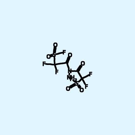 NN(C(=O)C(F)(F)S(=O)(=O)F)C(=O)C(F)(F)S(=O)(=O)F